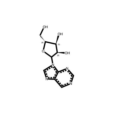 OC[C@H]1OC(n2cnc3cncnc32)[C@H](O)[C@@H]1O